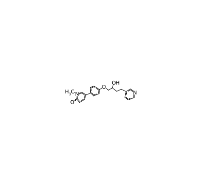 Cn1cc(-c2ccc(OCC(O)CCc3cccnc3)cc2)ccc1=O